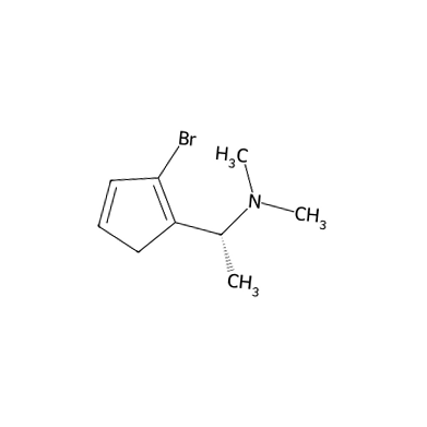 C[C@H](C1=C(Br)C=CC1)N(C)C